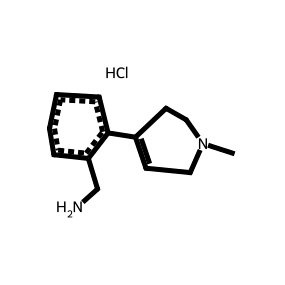 CN1CC=C(c2ccccc2CN)CC1.Cl